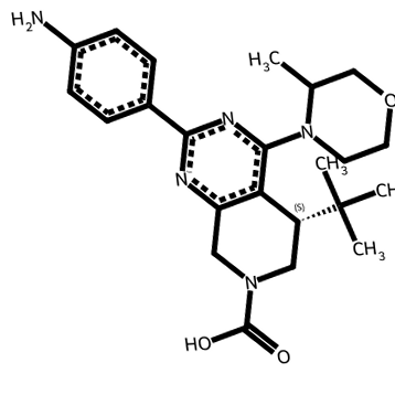 CC1COCCN1c1nc(-c2ccc(N)cc2)nc2c1[C@H](C(C)(C)C)CN(C(=O)O)C2